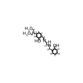 CCN(CC)c1ccc(C=NCCNCc2ccccc2O)c(O)c1